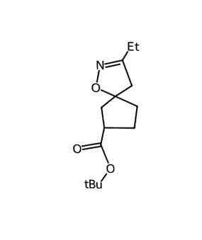 CCC1=NOC2(CCC(C(=O)OC(C)(C)C)C2)C1